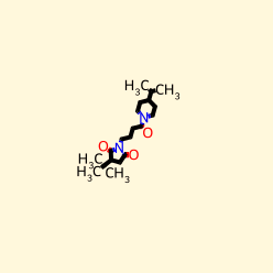 CC(C)C1CCN(C(=O)CCCN2C(=O)CC(C(C)(C)C)C2=O)CC1